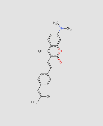 Cc1c(/C=C/c2ccc(/C=C(\C#N)C(=O)O)cc2)c(=O)oc2cc(N(C)C)ccc12